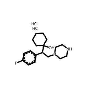 Cl.Cl.OC1(C(CN2CCNCC2)c2ccc(F)cc2)CCCCC1